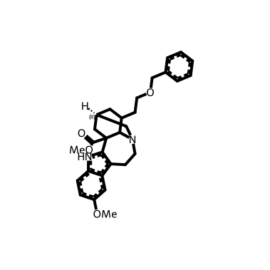 COC(=O)C12C[C@H]3CC(CCOCc4ccccc4)C1N(CCc1c2[nH]c2ccc(OC)cc12)C3